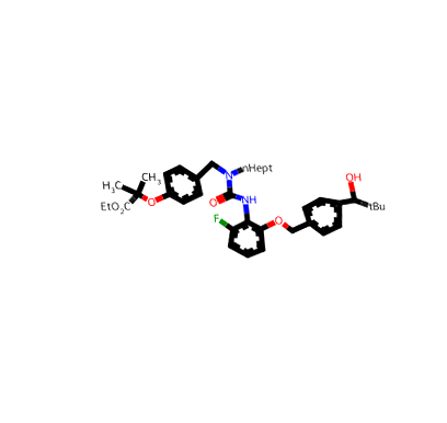 CCCCCCCN(Cc1ccc(OC(C)(C)C(=O)OCC)cc1)C(=O)Nc1c(F)cccc1OCc1ccc(C(O)C(C)(C)C)cc1